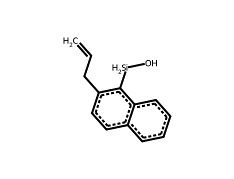 C=CCc1ccc2ccccc2c1[SiH2]O